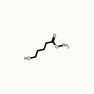 O=C(CCCCO)OP